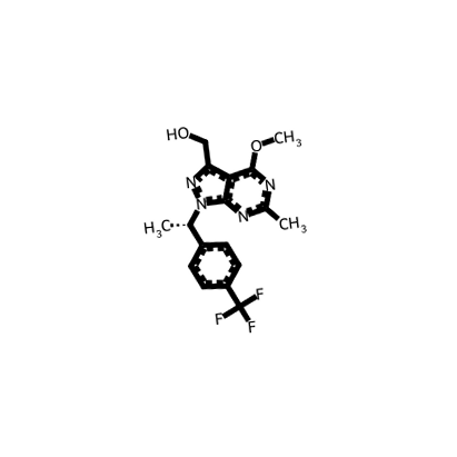 COc1nc(C)nc2c1c(CO)nn2[C@@H](C)c1ccc(C(F)(F)F)cc1